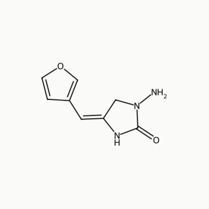 NN1CC(=Cc2ccoc2)NC1=O